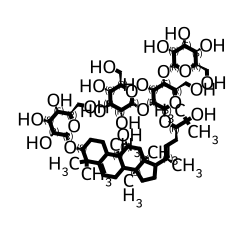 C[C@H](CC[C@@H](O[C@@H]1O[C@H](CO)[C@@H](O[C@H]2O[C@H](CO)[C@@H](O)[C@H](O)[C@H]2O)[C@H](O)[C@H]1O[C@@H]1O[C@H](CO)[C@@H](O)[C@H](O)[C@H]1O)C(C)(C)O)C1CC[C@@]2(C)C3CC=C4C(CC[C@H](O[C@@H]5O[C@H](CO)[C@@H](O)[C@H](O)[C@H]5O)C4(C)C)[C@]3(C)[C@H](O)C[C@]12C